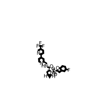 O=C(NCc1cc(-c2ccc(C(F)(F)F)cn2)ccn1)[C@@H]1C[C@@H]2C[C@@H]2N1S(=O)(=O)c1cc2cc(F)ccc2o1